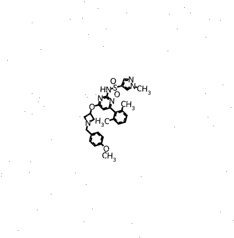 COc1ccc(CN2CC(Oc3cc(-c4c(C)cccc4C)nc(NS(=O)(=O)c4cnn(C)c4)n3)C2)cc1